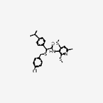 CSc1cc(C)nc(SC)c1NC(=O)C(SCc1ccc(Cl)cc1)c1ccc(C(C)C)cc1